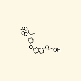 C=C(c1ccc(Oc2ccc3ccc(OCCO)cc3c2)cc1)C1COC(C)(C)OO1